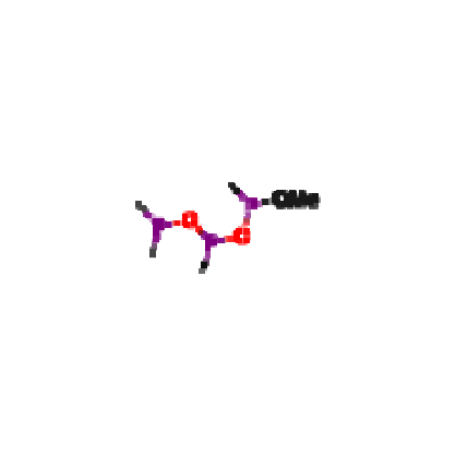 COP(C)OP(C)OP(C)C